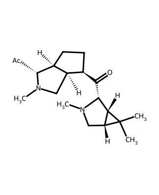 CC(=O)[C@@H]1[C@H]2CC[C@@H](C(=O)[C@@H]3[C@H]4[C@@H](CN3C)C4(C)C)[C@H]2CN1C